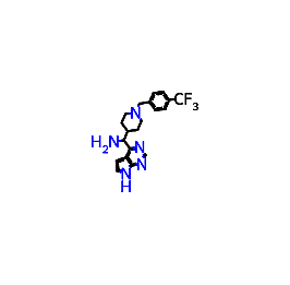 NC(c1ncnc2[nH]ccc12)C1CCN(Cc2ccc(C(F)(F)F)cc2)CC1